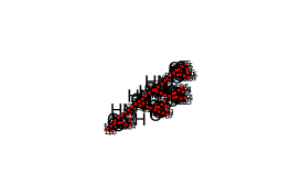 O=C(CCCCCN(C(=O)OCc1ccccc1)C(=O)OCc1ccccc1)NCCCCC(NC(=O)CCCCCN(C(=O)OCc1ccccc1)C(=O)OCc1ccccc1)C(=O)NCCNCCNC(=O)C(CCCCNC(=O)CCCCCN(C(=O)OCc1ccccc1)C(=O)OCc1ccccc1)NC(=O)CCCCCN(C(=O)OCc1ccccc1)C(=O)OCc1ccccc1